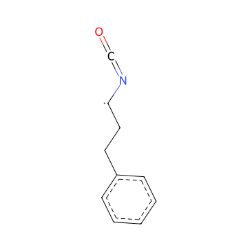 O=C=N[CH]CCc1ccccc1